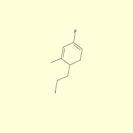 CC1=CC(F)=CCC1CCI